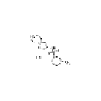 Cl.O=S(=O)(NC1COC2(CCNCC2)C1)c1cccc(C(F)(F)F)c1